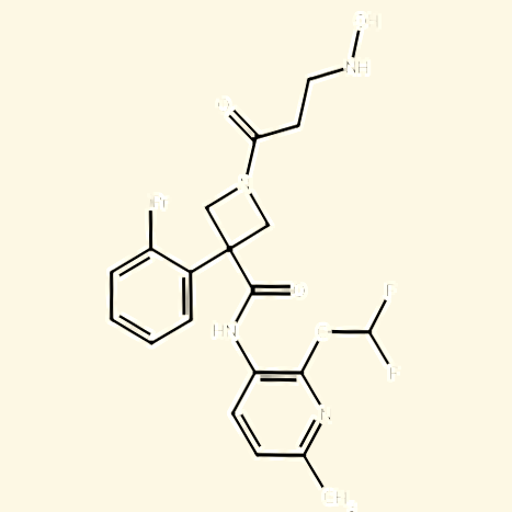 Cc1ccc(NC(=O)C2(c3ccccc3C(C)C)CN(C(=O)CCNO)C2)c(OC(F)F)n1